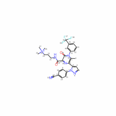 Cc1c(-c2ccnn2-c2ccc(C#N)cc2)nc(C(=O)NCCC[N+](C)(C)C)c(=O)n1-c1cccc(C(F)(F)F)c1